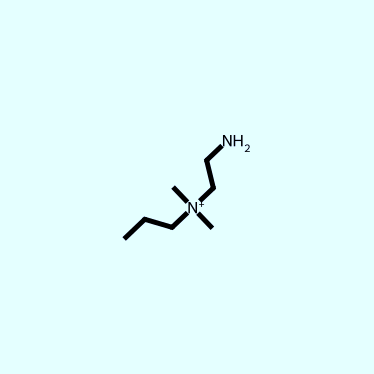 CCC[N+](C)(C)CCN